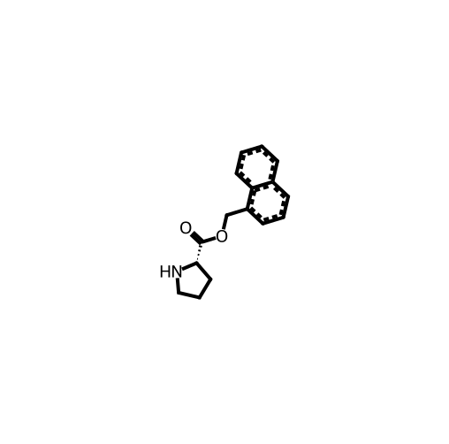 O=C(OCc1cccc2ccccc12)[C@@H]1CCCN1